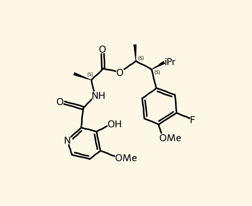 COc1ccc([C@H](C(C)C)[C@H](C)OC(=O)[C@H](C)NC(=O)c2nccc(OC)c2O)cc1F